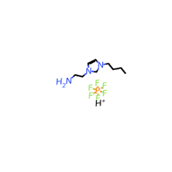 CCCCN1C=CN(CCN)C1.F[P-](F)(F)(F)(F)F.[H+]